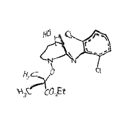 CCOC(=O)C(C)(C)ON1CCN/C1=N\c1c(Cl)cccc1Cl.Cl